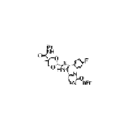 CCCOc1nccc(-c2[nH]c(C3OCC(C)(C(=O)NC(C)C)CO3)nc2-c2ccc(F)cc2)n1